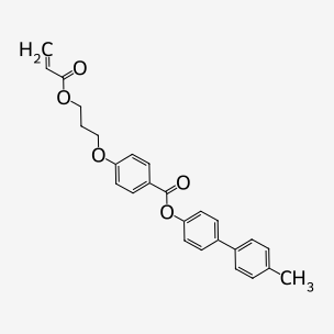 C=CC(=O)OCCCOc1ccc(C(=O)Oc2ccc(-c3ccc(C)cc3)cc2)cc1